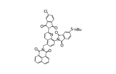 CCCCSc1ccc2c(c1)C(=O)N(c1ccc(CN3C(=O)c4cccc5cccc(c45)C3=O)c3ccc(C4C(=O)c5ccc(Cl)cc5C4=O)nc13)C2=O